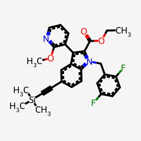 CCOC(=O)c1c(-c2cccnc2OC)c2cc(C#C[Si](C)(C)C)ccc2n1Cc1cc(F)ccc1F